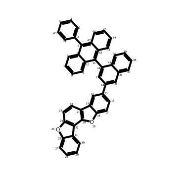 c1ccc(-c2c3ccccc3c(-c3cc(-c4ccc5oc6c(ccc7oc8ccccc8c76)c5c4)cc4ccccc34)c3ccccc23)cc1